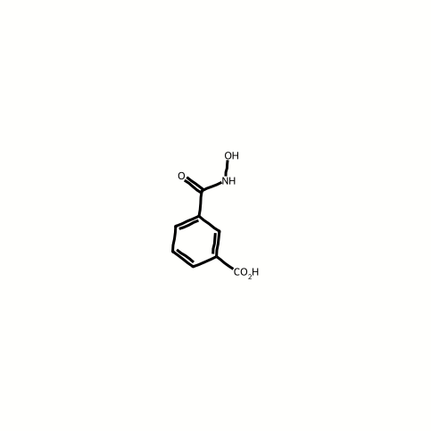 O=C(O)c1cccc(C(=O)NO)c1